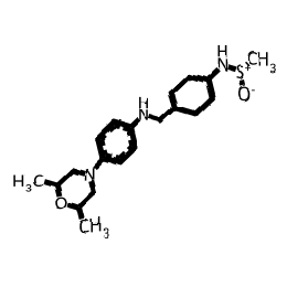 CC1CN(c2ccc(NCC3CCC(N[S+](C)[O-])CC3)cc2)CC(C)O1